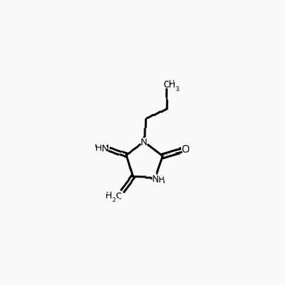 C=C1NC(=O)N(CCC)C1=N